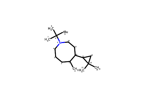 CC1CCCN(C(C)(C)C(C)(C)C)CCC1C1CC1(C)C